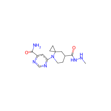 CNNC(=O)C1CCN(c2cc(C(N)=O)ncn2)C2(CC2)C1